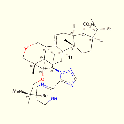 CN[C@@](C)(CO[C@H]1[C@H](n2ncnc2C2=NCCCN2)C[C@@]23COC[C@]1(C)[C@@H]2CC[C@H]1C3=CC[C@@]2(C)[C@H](C(=O)O)[C@@](C)([C@H](C)C(C)C)CC[C@]12C)C(C)(C)C